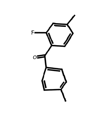 Cc1ccc(C(=O)c2ccc(C)cc2F)cc1